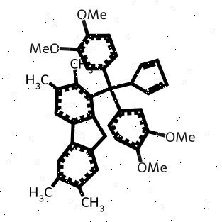 COc1ccc(C(c2ccc(OC)c(OC)c2)(c2c(C)c(C)cc3c2Cc2cc(C)c(C)cc2-3)C2C=CC=C2)cc1OC